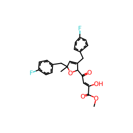 COC(=O)C(O)=CC(=O)C1OC(C)(Cc2ccc(F)cc2)C=C1Cc1ccc(F)cc1